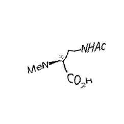 CN[C@@H](CNC(C)=O)C(=O)O